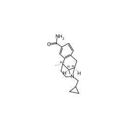 C[C@@H]1[C@H]2Cc3ccc(C(N)=O)cc3[C@]1(C)CCN2CC1CC1